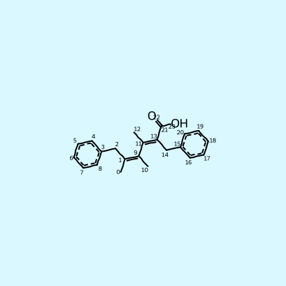 C/C(Cc1ccccc1)=C(C)/C(C)=C(\Cc1ccccc1)C(=O)O